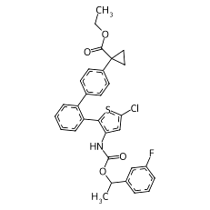 CCOC(=O)C1(c2ccc(-c3ccccc3-c3sc(Cl)cc3NC(=O)OC(C)c3cccc(F)c3)cc2)CC1